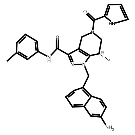 Cc1cccc(NC(=O)c2nn(Cc3cccc4cc(N)ccc34)c3c2CN(C(=O)c2ccc[nH]2)C[C@@H]3C)c1